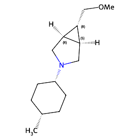 COC[C@@H]1[C@H]2CN([C@H]3CC[C@@H](C)CC3)C[C@@H]12